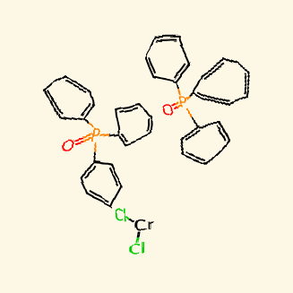 O=P(c1ccccc1)(c1ccccc1)c1ccccc1.O=P(c1ccccc1)(c1ccccc1)c1ccccc1.[Cl][Cr][Cl]